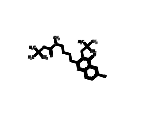 CN(CCCCc1nc2ccc(Br)cc2c(=O)n1CC(C)(C)C)C(=O)OC(C)(C)C